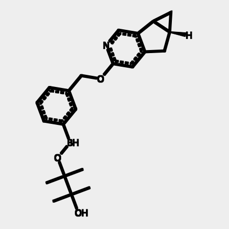 CC(C)(O)C(C)(C)OBc1cccc(COc2cc3c(cn2)C2C[C@@H]2C3)c1